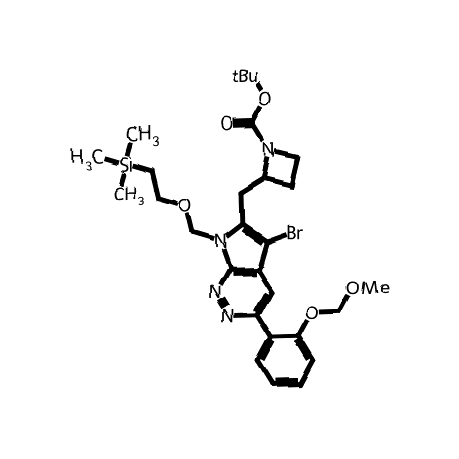 COCOc1ccccc1-c1cc2c(Br)c(CC3CCN3C(=O)OC(C)(C)C)n(COCC[Si](C)(C)C)c2nn1